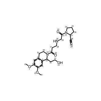 COc1cc2c(cc1OC)C(CCO)N(C(=O)CCNCC(=O)N1CCCC1C#N)CC2